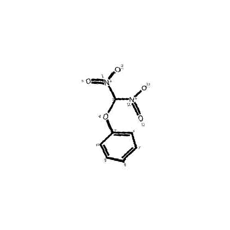 O=[N+]([O-])C(Oc1ccccc1)[N+](=O)[O-]